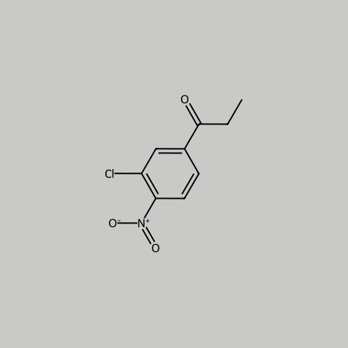 CCC(=O)c1ccc([N+](=O)[O-])c(Cl)c1